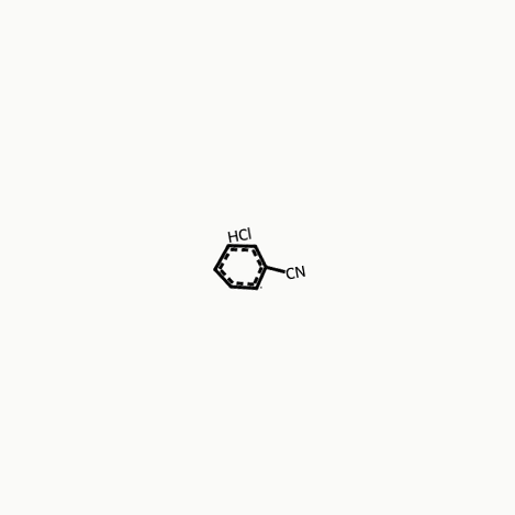 Cl.N#Cc1[c]cccc1